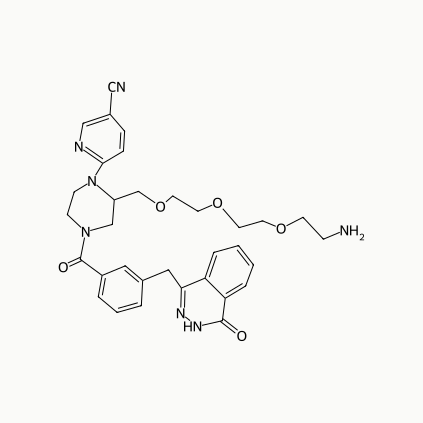 N#Cc1ccc(N2CCN(C(=O)c3cccc(Cc4n[nH]c(=O)c5ccccc45)c3)CC2COCCOCCOCCN)nc1